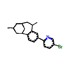 CC1CC2CC(C)c3cc(-c4ccc(Br)cn4)ccc3C(C1)C2